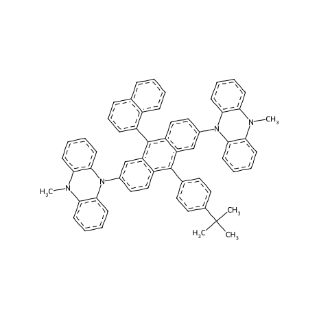 CN1c2ccccc2N(c2ccc3c(-c4cccc5ccccc45)c4cc(N5c6ccccc6N(C)c6ccccc65)ccc4c(-c4ccc(C(C)(C)C)cc4)c3c2)c2ccccc21